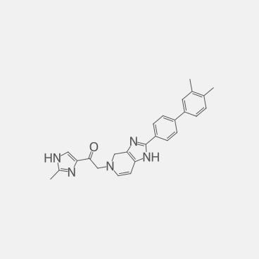 Cc1nc(C(=O)CN2C=Cc3[nH]c(-c4ccc(-c5ccc(C)c(C)c5)cc4)nc3C2)c[nH]1